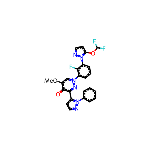 COc1cn(-c2cccc(-n3nccc3OC(F)F)c2F)nc(-c2ccnn2-c2ccccc2)c1=O